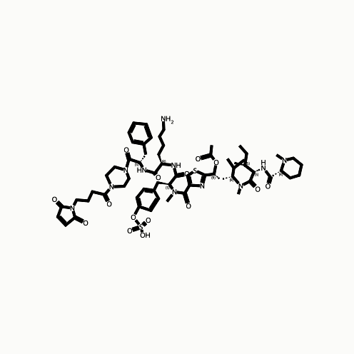 CC[C@H](C)[C@H](NC(=O)[C@H]1CCCCN1C)C(=O)N(C)[C@H](C[C@@H](OC(C)=O)c1nc(C(=O)N(C)[C@@H](Cc2ccc(OS(=O)(=O)O)cc2)C(=O)N[C@H](CCCCN)C(=O)N[C@@H](Cc2ccccc2)C(=O)N2CCN(C(=O)CCCN3C(=O)C=CC3=O)CC2)cs1)C(C)C